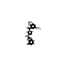 COc1ccc(C)cc1C(=O)N1CC[C@@H](Nc2nc3c(F)cccc3s2)C1